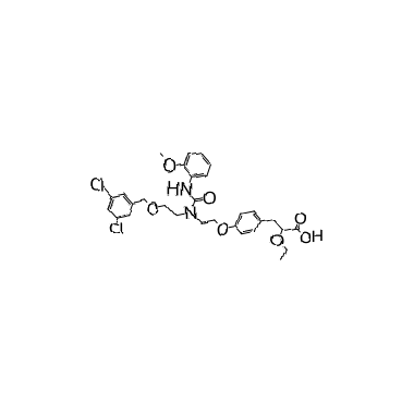 CCOC(Cc1ccc(OCCN(CCOCc2cc(Cl)cc(Cl)c2)C(=O)Nc2ccccc2OC)cc1)C(=O)O